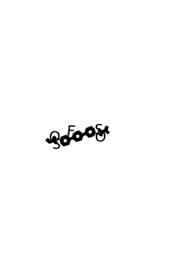 C=CC(=O)Sc1ccc(-c2ccc(-c3ccc(SC(=O)C(=C)C)cc3)cc2F)cc1